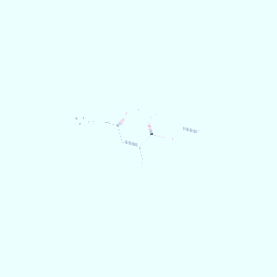 C=COC(=O)/C(=C\C(=O)OC)CCC